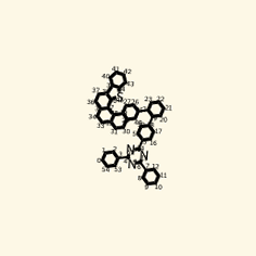 c1ccc(-c2nc(-c3ccccc3)nc(-c3ccc(-c4ccccc4-c4ccc5c(ccc6ccc7ccc8c9ccccc9sc8c7c65)c4)cc3)n2)cc1